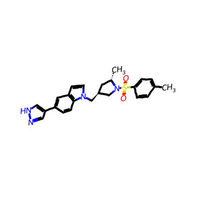 Cc1ccc(S(=O)(=O)N2C[C@@H](Cn3ccc4cc(-c5cn[nH]c5)ccc43)C[C@@H]2C)cc1